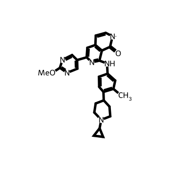 COc1ncc(-c2cc3c(c(Nc4ccc(C5CCN(C6CC6)CC5)c(C)c4)n2)C(=O)[N]C=C3)cn1